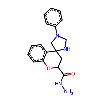 NNC(=O)C1CC2(CN(c3ccccc3)CN2)c2ccccc2O1